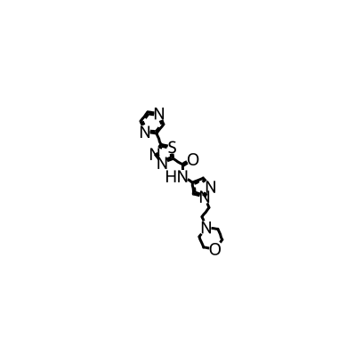 O=C(Nc1cnn(CCN2CCOCC2)c1)c1nnc(-c2cnccn2)s1